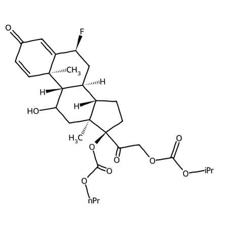 CCCOC(=O)O[C@]1(C(=O)COC(=O)OC(C)C)CC[C@H]2[C@@H]3C[C@H](F)C4=CC(=O)C=C[C@]4(C)[C@H]3C(O)C[C@@]21C